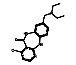 CCN(CC)Cc1ccc2c(c1)NC(=O)c1c(Cl)ccnc1N2